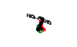 O=CC(C(=O)N1CCC[C@H](C(=O)O)C1)c1ccc2c(-c3c(Cl)cccc3Cl)cc(=O)oc2c1